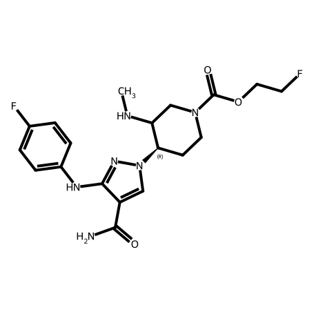 CNC1CN(C(=O)OCCF)CC[C@H]1n1cc(C(N)=O)c(Nc2ccc(F)cc2)n1